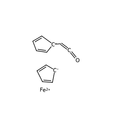 O=C=C[c-]1cccc1.[Fe+2].c1cc[cH-]c1